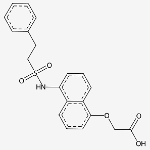 O=C(O)COc1cccc2c(NS(=O)(=O)CCc3ccccc3)cccc12